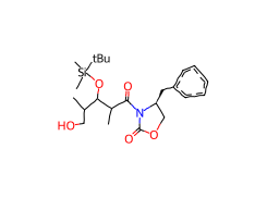 CC(CO)C(O[Si](C)(C)C(C)(C)C)C(C)C(=O)N1C(=O)OC[C@@H]1Cc1ccccc1